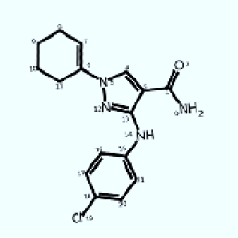 NC(=O)c1cn(C2=CCCCC2)nc1Nc1ccc(Cl)cc1